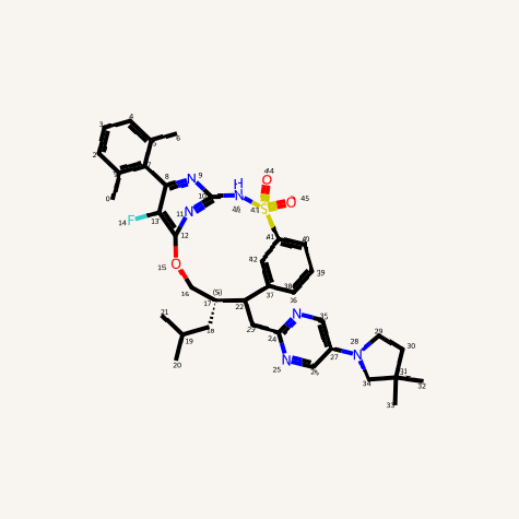 Cc1cccc(C)c1-c1nc2nc(c1F)OC[C@@H](CC(C)C)C(Cc1ncc(N3CCC(C)(C)C3)cn1)c1cccc(c1)S(=O)(=O)N2